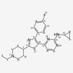 CCN1CCC(c2nc(-c3ccc(F)cc3)c(-c3ccnc(NC4CC4)n3)s2)CC1